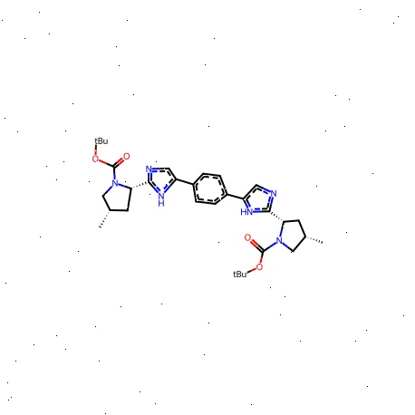 C[C@H]1C[C@@H](c2ncc(-c3ccc(-c4cnc([C@@H]5C[C@H](C)CN5C(=O)OC(C)(C)C)[nH]4)cc3)[nH]2)N(C(=O)OC(C)(C)C)C1